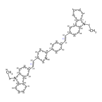 CCn1c2ccccc2c2cc(/C=C/c3ccc(-c4ccc(/C=C/c5ccc6c(c5)c5ccccc5n6CC)cn4)cc3)ccc21